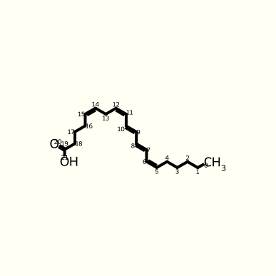 CCCCC\C=C/C=C/C=C/C=C\C/C=C\CCCC(=O)O